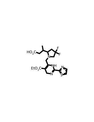 CCOC(=O)C1=C(CN2CC(F)(F)CC2C(C)CC(=O)O)NC(c2nccs2)=NC1